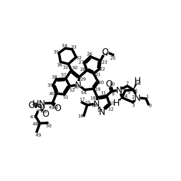 CCN1C[C@H]2C[C@@H]1CN2C(=O)c1cnn(C(C)C)c1C1=Cc2cc(OC)ccc2-c2c(C3CCCCC3)c3ccc(C(=O)NS(=O)(=O)CC(C)C)cc3n2C1